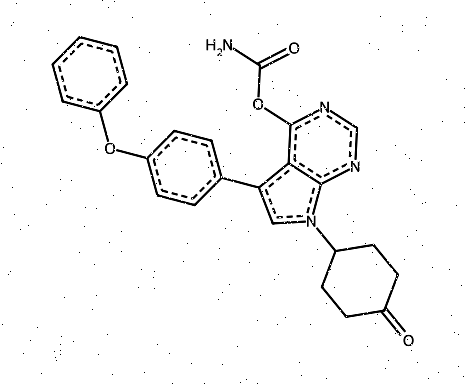 NC(=O)Oc1ncnc2c1c(-c1ccc(Oc3ccccc3)cc1)cn2C1CCC(=O)CC1